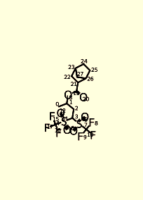 CC(CC(S(=O)(=O)C(F)(F)F)S(=O)(=O)C(F)(F)F)OC(=O)C1CC2CCC1C2